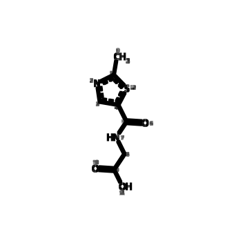 Cc1ncc(C(=O)NCC(=O)O)s1